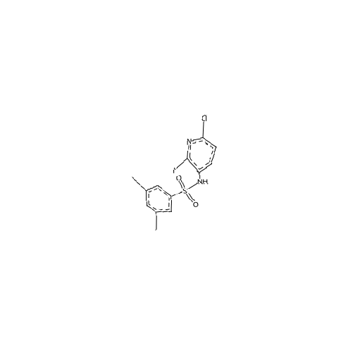 Cc1cc(C)cc(S(=O)(=O)Nc2ccc(Cl)nc2I)c1